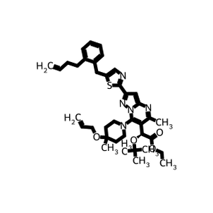 C=CCCc1ccccc1Cc1cnc(-c2cc3nc(C)c([C@H](OC(C)(C)C)C(=O)OCC)c(N4CCC(C)(OCC=C)CC4)n3n2)s1